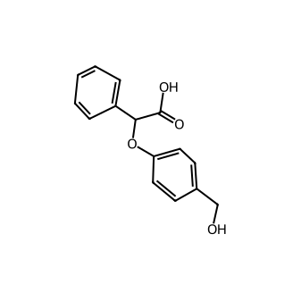 O=C(O)C(Oc1ccc(CO)cc1)c1ccccc1